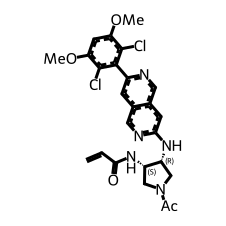 C=CC(=O)N[C@H]1CN(C(C)=O)C[C@H]1Nc1cc2cnc(-c3c(Cl)c(OC)cc(OC)c3Cl)cc2cn1